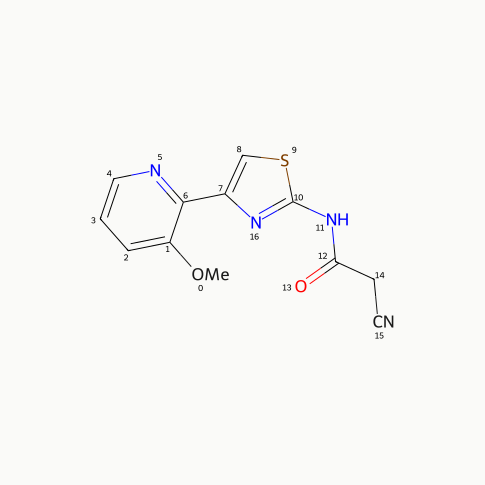 COc1cccnc1-c1csc(NC(=O)CC#N)n1